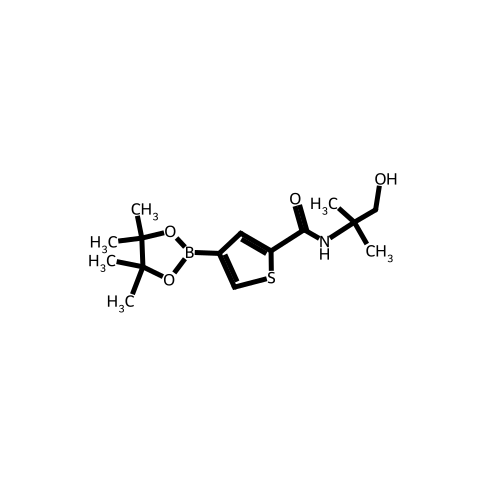 CC(C)(CO)NC(=O)c1cc(B2OC(C)(C)C(C)(C)O2)cs1